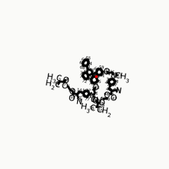 C=C(C)C(=O)OCCOC(=O)/C(C#N)=C/c1ccc(N(C)CCOc2ccc(C3(c4ccc(OCCN(C)c5ccc(/C=C(\C#N)C(=O)OCCOC(=O)C(=C)C)cc5)cc4)CC(c4ccccc4)c4ccccc43)cc2)cc1